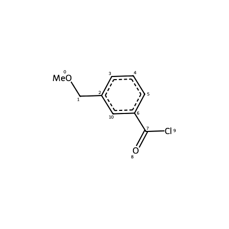 COCc1cccc(C(=O)Cl)c1